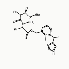 Cc1c(COC(=O)C(C(C)C)N(N)C(=O)C(C(=O)OC(C)(C)C)C(C)C)cccc1C(C)c1c[nH]cn1